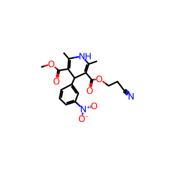 COC(=O)C1=C(C)NC(C)=C(C(=O)OCCC#N)C1c1cccc([N+](=O)[O-])c1